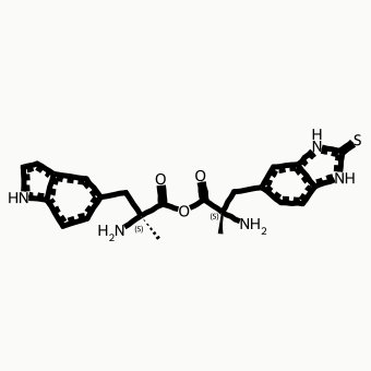 C[C@](N)(Cc1ccc2[nH]ccc2c1)C(=O)OC(=O)[C@@](C)(N)Cc1ccc2[nH]c(=S)[nH]c2c1